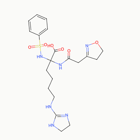 O=C(CC1=NOCC1)NC(CCCCNC1=NCCN1)(NS(=O)(=O)c1ccccc1)C(=O)O